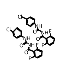 O=C(NC(=O)c1c(F)cccc1F)Nc1ccc(Cl)cc1.O=C(NC(=O)c1c(F)cccc1F)Nc1ccc(Cl)cc1